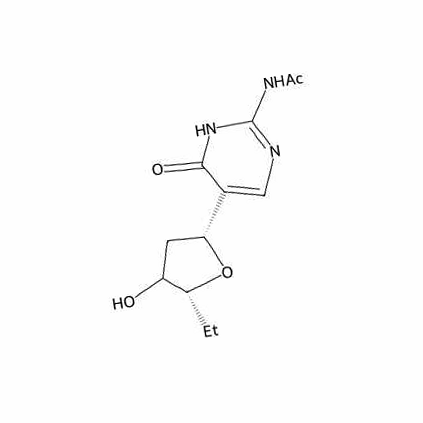 CC[C@H]1O[C@@H](c2cnc(NC(C)=O)[nH]c2=O)CC1O